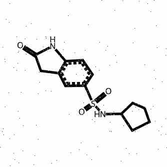 O=C1Cc2cc(S(=O)(=O)NC3CCCC3)ccc2N1